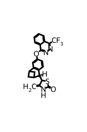 C=C1NC(=O)SC1[C@H]1c2ccc(Oc3nnc(C(F)(F)F)c4ccccc34)cc2C2CC1C2